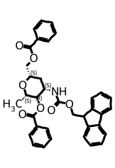 C[C@@H]1O[C@H](COC(=O)c2ccccc2)C[C@H](NC(=O)OCC2c3ccccc3-c3ccccc32)[C@H]1OC(=O)c1ccccc1